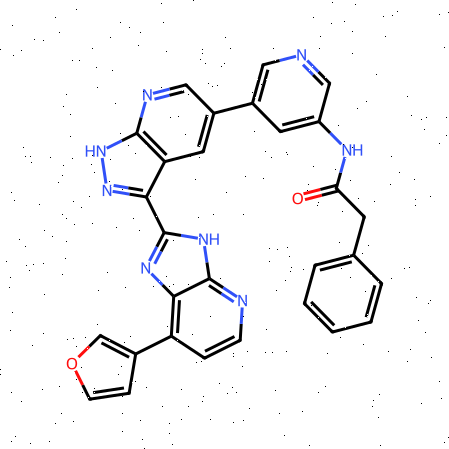 O=C(Cc1ccccc1)Nc1cncc(-c2cnc3[nH]nc(-c4nc5c(-c6ccoc6)ccnc5[nH]4)c3c2)c1